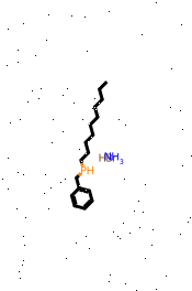 Br.CCCCCCCCCCPCc1ccccc1.N